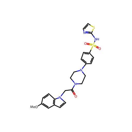 COc1ccc2c(ccn2CC(=O)N2CCN(c3ccc(S(=O)(=O)Nc4nccs4)cc3)CC2)c1